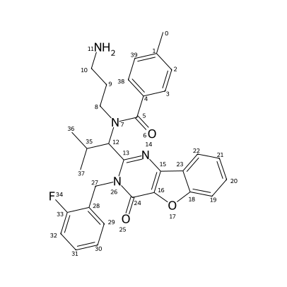 Cc1ccc(C(=O)N(CCCN)C(c2nc3c(oc4ccccc43)c(=O)n2Cc2ccccc2F)C(C)C)cc1